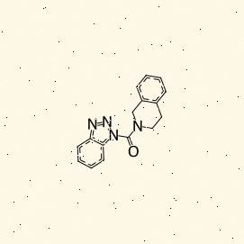 O=C(N1CCc2ccccc2C1)n1nnc2ccccc21